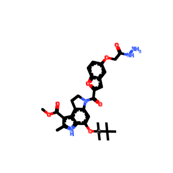 COC(=O)c1c(C)[nH]c2c(O[Si](C)(C)C(C)(C)C)cc3c(c12)CCN3C(=O)c1cc2cc(OCC(=O)NN)ccc2o1